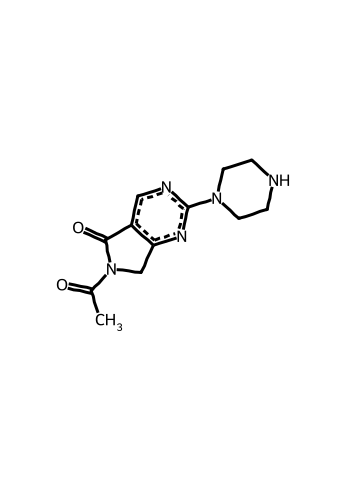 CC(=O)N1Cc2nc(N3CCNCC3)ncc2C1=O